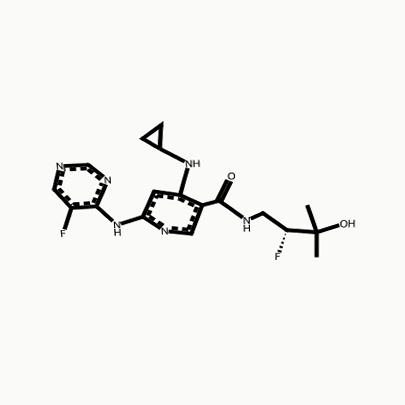 CC(C)(O)[C@H](F)CNC(=O)c1cnc(Nc2ncncc2F)cc1NC1CC1